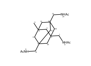 CC(=O)NCC12CC3(C)CC(CNC(C)=O)(C1)CC(CNC(C)=O)(C3)C2